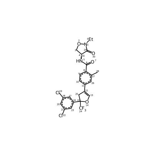 CCN1OC[C@H](NC(=O)c2ccc(C3=COC(c4cc(Cl)cc(Cl)c4)(C(F)(F)F)C3)cc2C)C1=O